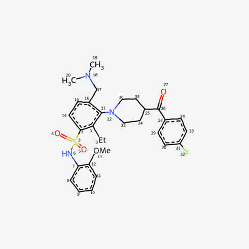 CCc1c(S(=O)(=O)Nc2ccccc2OC)ccc(CN(C)C)c1N1CCC(C(=O)c2ccc(F)cc2)CC1